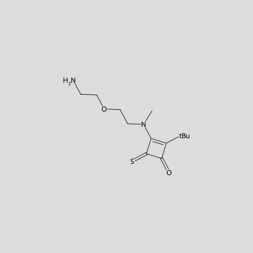 CN(CCOCCN)c1c(C(C)(C)C)c(=O)c1=S